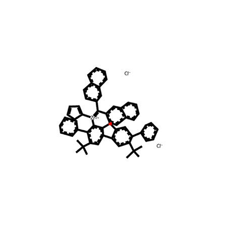 CC(C)(C)c1cc2c(cc1-c1ccccc1)Cc1c-2cc(C(C)(C)C)c(-c2ccccc2)[c]1[Zr+2]([C]1=CC=CC1)=[C](c1ccc2ccccc2c1)c1ccc2ccccc2c1.[Cl-].[Cl-]